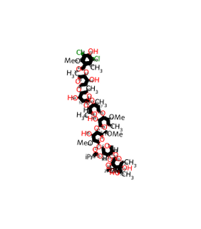 COC[C@H]1O[C@@H](O[C@@H]2OC[C@@H]3O[C@]4(O[C@H]3[C@H]2OC(=O)C(C)C)O[C@H](C)[C@@](O)(C(C)O)[C@@H]2OCO[C@H]24)[C@@H](OC)[C@@H](O)[C@@H]1O[C@@H]1O[C@H](C)[C@H](OC)[C@H](O[C@H]2C[C@@]3(C)OC4(C[C@@H](O)[C@H](O[C@H]5C[C@@H](O)[C@H](OC(=O)c6c(C)c(Cl)c(O)c(Cl)c6OC)[C@@H](C)O5)[C@@H](C)O4)O[C@@H]3[C@@H](C)O2)[C@H]1O